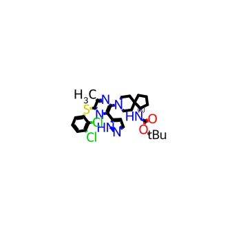 Cc1nc(N2CCC3(CCC[C@H]3NC(=O)OC(C)(C)C)CC2)c(-c2ccn[nH]2)nc1Sc1cccc(Cl)c1Cl